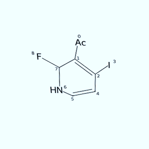 CC(=O)C1=C(I)C=CNC1F